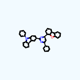 c1ccc(-c2cc(-c3cccc4c3oc3ccccc34)nc(-c3ccc4c(c3)c3ccccc3n4-c3ccccc3)n2)cc1